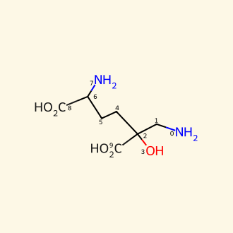 NCC(O)(CCC(N)C(=O)O)C(=O)O